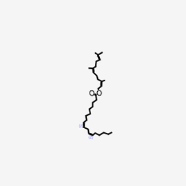 CCCCC/C=C\C/C=C\CCCCCCCC(=O)OCC=C(C)CCC=C(C)CCC=C(C)C